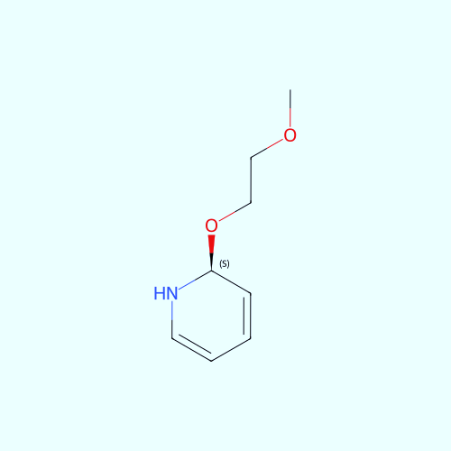 COCCO[C@H]1C=CC=CN1